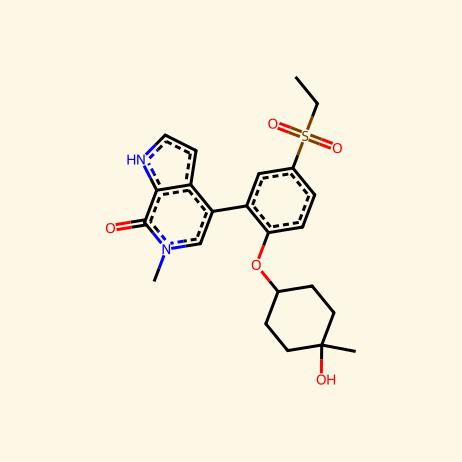 CCS(=O)(=O)c1ccc(OC2CCC(C)(O)CC2)c(-c2cn(C)c(=O)c3[nH]ccc23)c1